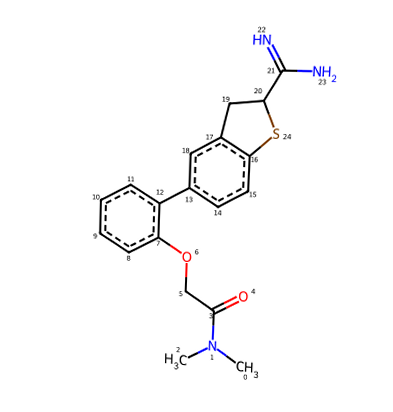 CN(C)C(=O)COc1ccccc1-c1ccc2c(c1)CC(C(=N)N)S2